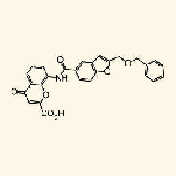 O=C(Nc1cccc2c(=O)cc(C(=O)O)oc12)c1ccc2oc(COCc3ccccc3)cc2c1